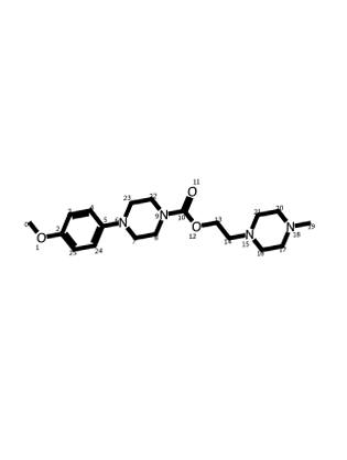 COc1ccc(N2CCN(C(=O)OCCN3CCN(C)CC3)CC2)cc1